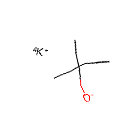 CC(C)(C)[O-].[4K+]